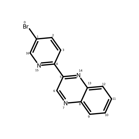 Brc1ccc(-c2cnc3ccccc3n2)nc1